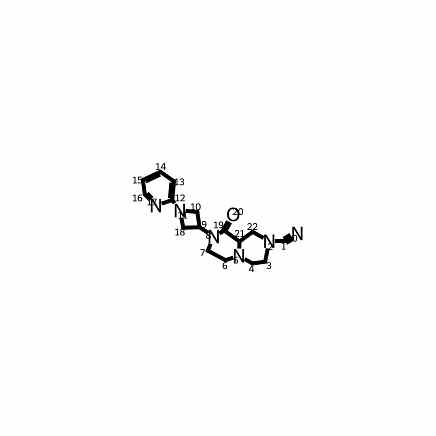 N#CN1CCN2CCN(C3CN(c4ccccn4)C3)C(=O)C2C1